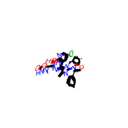 C=c1nc(N2CCOC[C@H]2c2ccccc2)n(C[C@H]2CC[C@H](C)CC2)/c1=C(/N=C(\N)c1n[nH]c(=O)o1)c1cc(Cl)cnc1O